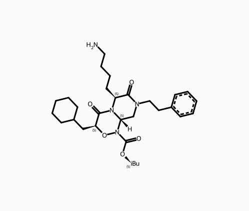 CC[C@H](C)OC(=O)N1O[C@@H](CC2CCCCC2)C(=O)N2[C@@H]1CN(CCc1ccccc1)C(=O)[C@@H]2CCCCN